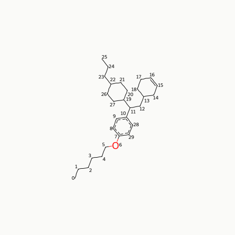 CCCCCCOc1ccc(C(CC2CC=CCC2)C2CCC(CCC)CC2)cc1